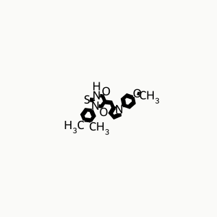 COc1ccc(-n2cccc2C=C2C(=O)NC(=S)N(c3ccc(C)c(C)c3)C2=O)cc1